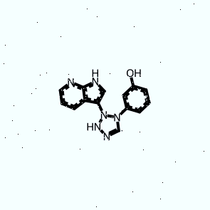 Oc1cccc(N2[C]=NNN2c2c[nH]c3ncccc23)c1